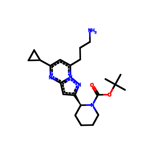 CC(C)(C)OC(=O)N1CCCC[C@H]1c1cc2nc(C3CC3)cc(CCCN)n2n1